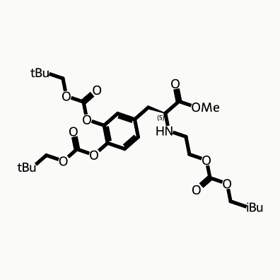 CCC(C)COC(=O)OCCN[C@@H](Cc1ccc(OC(=O)OCC(C)(C)C)c(OC(=O)OCC(C)(C)C)c1)C(=O)OC